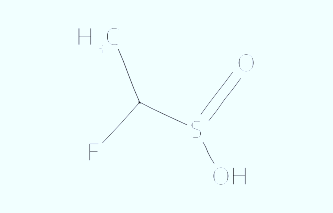 CC(F)S(=O)O